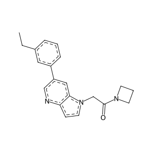 CCc1cccc(-c2cnc3ccn(CC(=O)N4CCC4)c3c2)c1